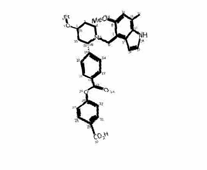 CCO[C@H]1CCN(Cc2c(OC)cc(C)c3[nH]ccc23)[C@H](c2ccc(C(=O)Oc3ccc(C(=O)O)cc3)cc2)C1